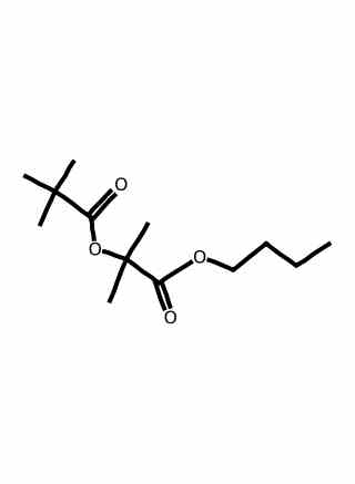 CCCCOC(=O)C(C)(C)OC(=O)C(C)(C)C